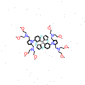 COCCN(CCOC)Cc1ccc(CN(CCOC)CCOC)n1-c1ccc(F)[c]([Ti]([C]2=CC=CC2)([C]2=CC=CC2)[c]2c(F)ccc(-n3c(CN(CCOC)CCOC)ccc3CN(CCOC)CCOC)c2F)c1F